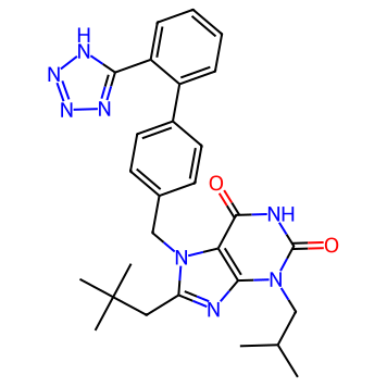 CC(C)Cn1c(=O)[nH]c(=O)c2c1nc(CC(C)(C)C)n2Cc1ccc(-c2ccccc2-c2nnn[nH]2)cc1